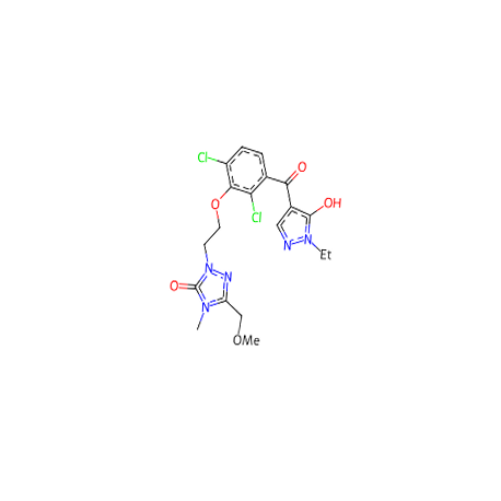 CCn1ncc(C(=O)c2ccc(Cl)c(OCCn3nc(COC)n(C)c3=O)c2Cl)c1O